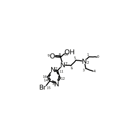 CCN(CC)CCN(C(=O)O)c1cnc(Br)cn1